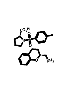 Cc1ccc(S(=O)(=O)N2CCC[C@H]2C(=O)O)cc1.NC[C@@H]1CCc2ccccc2O1